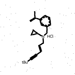 C=C(C)c1cccc(CN(C/C=C/C#CC(C)(C)C)C2CC2)c1.Cl